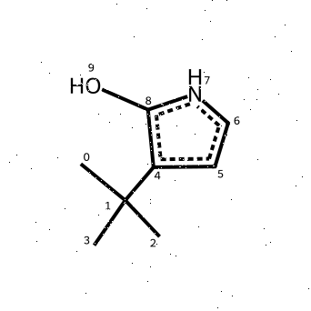 CC(C)(C)c1cc[nH]c1O